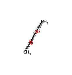 CCCCCCCCCCC(=O)OCCCCCCCCCOC(=O)CCCCCCCCCC